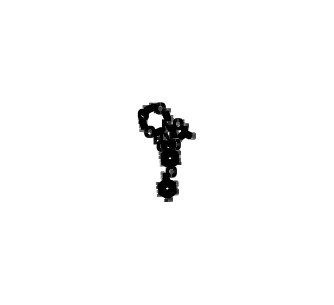 CC(C)C[C@H](NS(=O)(=O)c1ccc(OCc2ccccc2)cc1)C(=O)N1CCOCCOCCOCC1